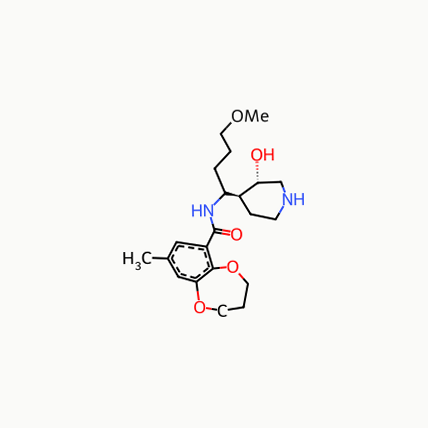 COCCCC(NC(=O)c1cc(C)cc2c1OCCCO2)[C@@H]1CCNC[C@H]1O